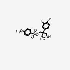 Cc1ccc(S(=O)(=O)OCC(CO)(CO)c2ccc(Br)c(F)c2)cc1